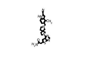 Cc1c(CN2CCC3(CCN(c4ncnc5sc(CC(N)=O)cc45)C3)C2)ccc2[nH]c(C#N)cc12